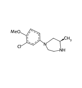 COc1ccc(N2CCN[C@H](C)C2)cc1Cl